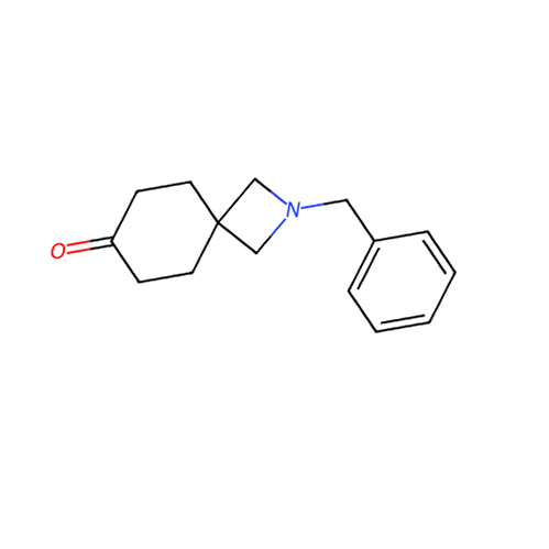 O=C1CCC2(CC1)CN(Cc1ccccc1)C2